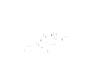 CCc1nc(C(=O)NCC(=O)O)c(O)c2c(Cl)cn(Cc3ccccc3)c12